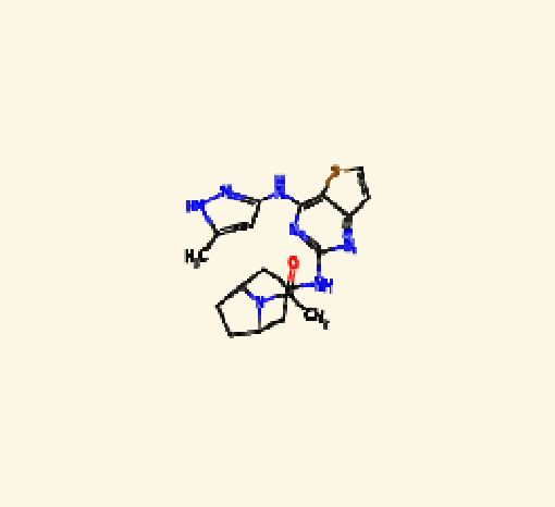 CC(=O)N1C2CCC1CC(Nc1nc(Nc3cc(C)[nH]n3)c3sccc3n1)C2